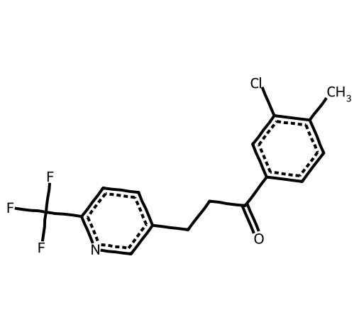 Cc1ccc(C(=O)CCc2ccc(C(F)(F)F)nc2)cc1Cl